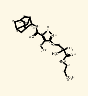 CC(C)Sc1c(OCC(C)(C)C(=O)NCCC(=O)O)noc1C(=O)NC1C2CC3CC(C2)CC1C3